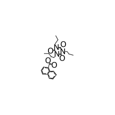 CCCn1c(=O)n(CCC)c(=O)n(CC(CC)OC(=O)c2cccc3ccccc23)c1=O